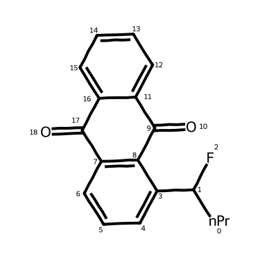 CCCC(F)c1cccc2c1C(=O)c1ccccc1C2=O